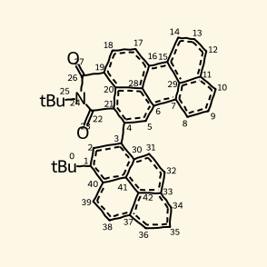 CC(C)(C)c1cc(-c2cc3c4cccc5cccc(c6ccc7c(c2C(=O)N(C(C)(C)C)C7=O)c63)c54)c2ccc3cccc4ccc1c2c34